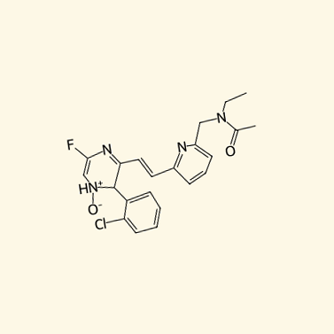 CCN(Cc1cccc(C=CC2=NC(F)=C[NH+]([O-])C2c2ccccc2Cl)n1)C(C)=O